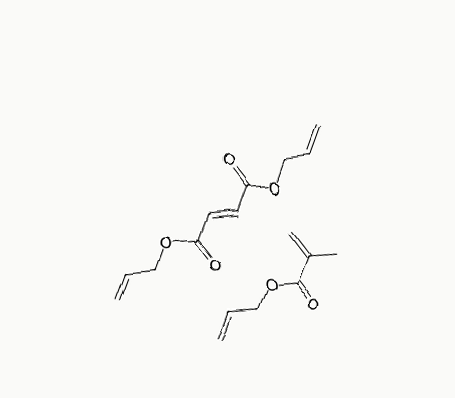 C=CCOC(=O)C(=C)C.C=CCOC(=O)C=CC(=O)OCC=C